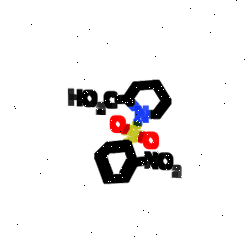 O=C(O)C1CCCCN1S(=O)(=O)c1ccccc1[N+](=O)[O-]